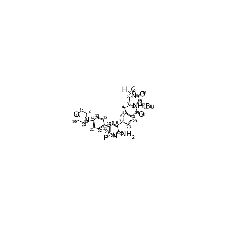 CN(CC1Cc2cc(-c3cc(-c4ccc(N5CCOCC5)cc4)c(F)nc3N)ccc2C(=O)N1)C(=O)OC(C)(C)C